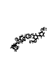 CCOc1cccc(-c2cc(CN3CCN(c4ccc(C(=O)NCC56CC7CC(CC(C7)C5)C6)nn4)CC3)cc(OC(C)C)c2)c1